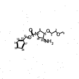 COCCO[C@H]1CN(C(=O)OCc2ccccc2)C[C@@H]1N